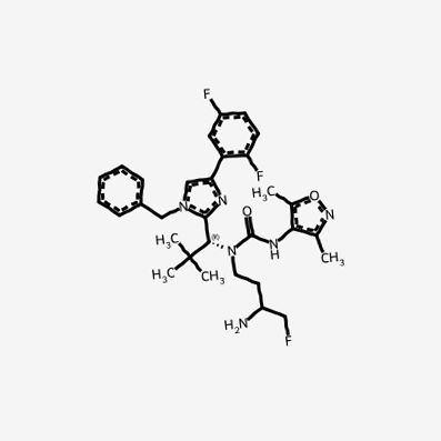 Cc1noc(C)c1NC(=O)N(CCC(N)CF)[C@@H](c1nc(-c2cc(F)ccc2F)cn1Cc1ccccc1)C(C)(C)C